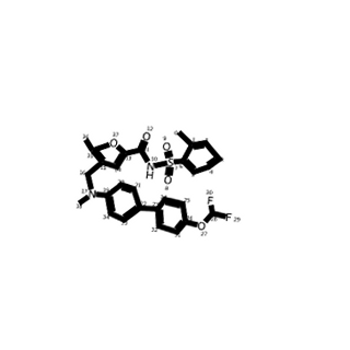 Cc1ccccc1S(=O)(=O)NC(=O)c1cc(CN(C)c2ccc(-c3ccc(OC(F)F)cc3)cc2)c(C)o1